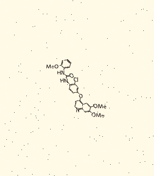 COc1ccccc1NC(=O)Nc1ccc(Oc2ccnc3cc(OC)c(OC)cc23)cc1Cl